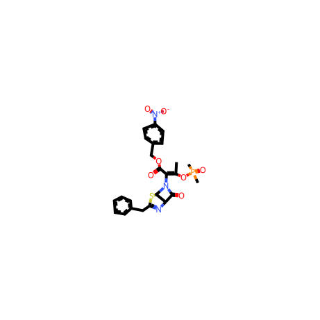 CC(OP(C)(C)=O)=C(C(=O)OCc1ccc([N+](=O)[O-])cc1)N1C(=O)C2N=C(Cc3ccccc3)SC21